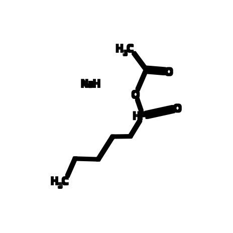 CCCCC[PH](=O)OC(C)=O.[NaH]